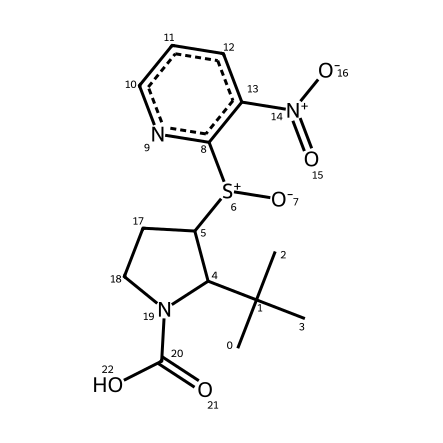 CC(C)(C)C1C([S+]([O-])c2ncccc2[N+](=O)[O-])CCN1C(=O)O